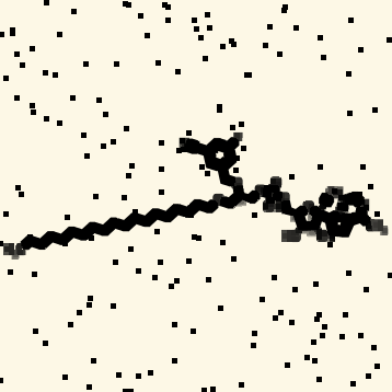 C#C[C@@]1(c2ccc3c(C)ncnn23)O[C@H](COP(=O)(O)OC[C@@H](COCCCCCCCCCCCCCCCCCCC)OCc2cc(F)cc(C#N)c2)[C@@H](O)[C@H]1O